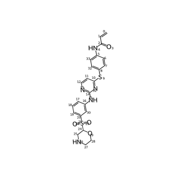 C=CC(=O)Nc1ccc(Sc2ccnc(Nc3cccc(S(=O)(=O)C4CNCCO4)c3)n2)cc1